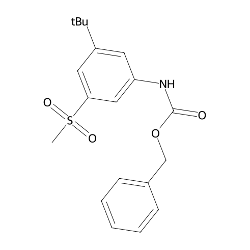 CC(C)(C)c1cc(NC(=O)OCc2ccccc2)cc(S(C)(=O)=O)c1